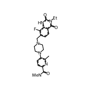 CCn1c(=O)[nH]c2c(F)c(CN3CCN(c4ccc(C(=O)NC)nc4C)CC3)ccc2c1=O